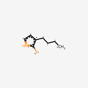 CCCCc1cc[pH]c1[P]